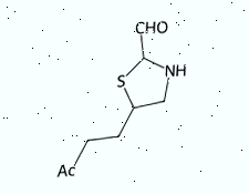 CC(=O)CCC1CNC(C=O)S1